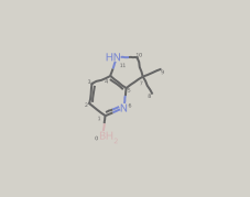 Bc1ccc2c(n1)C(C)(C)CN2